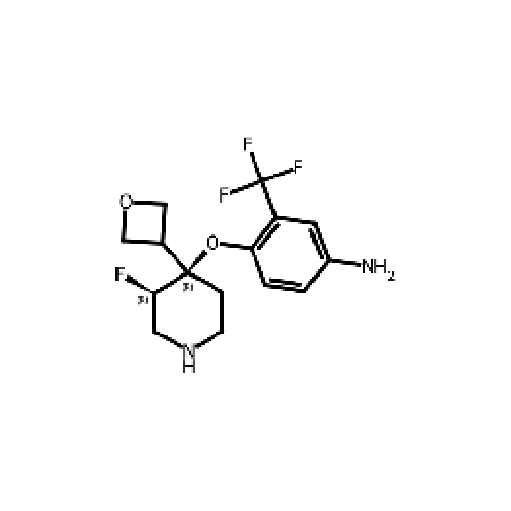 Nc1ccc(O[C@@]2(C3COC3)CCNC[C@H]2F)c(C(F)(F)F)c1